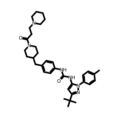 Cc1ccc(-n2nc(C(C)(C)C)cc2NC(=O)Nc2ccc(CC3CCN(C(=O)CCN4CCCCC4)CC3)cc2)cc1